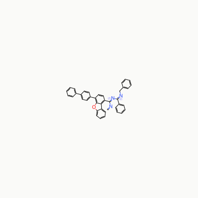 C=N/C(=N\C(=N/Cc1ccccc1)c1ccccc1)c1ccc(-c2ccc(-c3ccccc3)cc2)c2oc3ccccc3c12